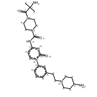 CC(C)(N)C(=O)N1CCN(C(=O)Nc2ccn(-c3cccc(CCN4CCC(N)CC4)c3)c(=O)n2)CC1